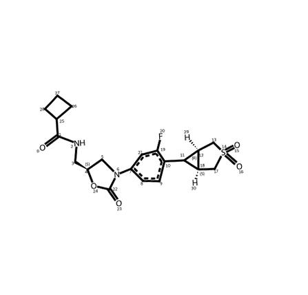 O=C(NC[C@H]1CN(c2ccc(C3[C@H]4CS(=O)(=O)C[C@@H]34)c(F)c2)C(=O)O1)C1CCC1